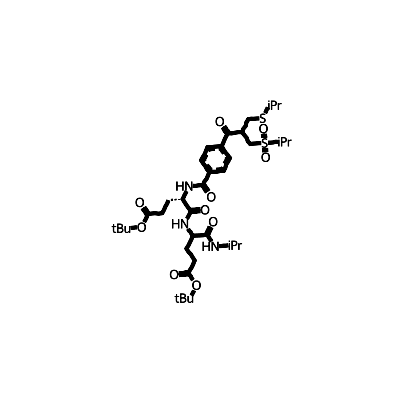 CC(C)NC(=O)C(CCC(=O)OC(C)(C)C)NC(=O)[C@H](CCC(=O)OC(C)(C)C)NC(=O)c1ccc(C(=O)C(CSC(C)C)CS(=O)(=O)C(C)C)cc1